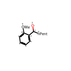 CCCCCC([O])c1ccccc1OC